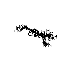 CN(CCCOc1cccc(-c2cccc(COc3cc(OCc4cncc(C#N)c4)c(CNC(C)(CO)C(=O)O)cc3Cl)c2Cl)c1Cl)C[C@H](O)CO